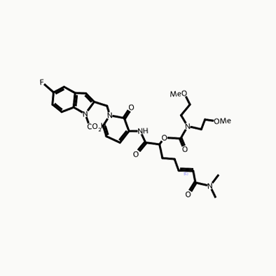 COCCN(CCOC)C(=O)OC(CC/C=C/C(=O)N(C)C)C(=O)Nc1cccn(Cc2cc3cc(F)ccc3n2C(=O)O)c1=O